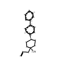 C=CC[C@]1(C#N)CC[C@@H](c2ccc(-c3ccccc3)cc2)CC1